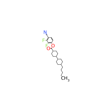 CCCCCC1CCC(C2CCC(C(=O)Oc3ccc(C#N)c(F)c3F)CC2)CC1